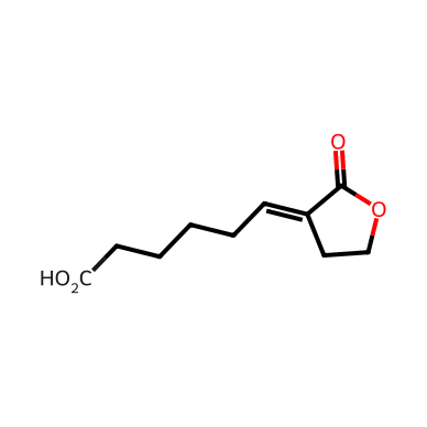 O=C(O)CCCC/C=C1\CCOC1=O